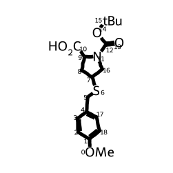 COc1ccc(CSC2CC(C(=O)O)N(C(=O)OC(C)(C)C)C2)cc1